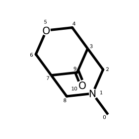 CN1CC2COCC(C1)C2=O